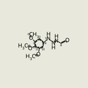 COc1cc(NNNC=O)cc(OC)c1OC